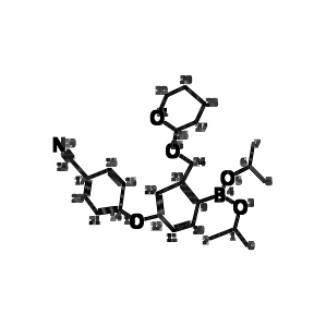 CC(C)OB(OC(C)C)c1ccc(Oc2ccc(C#N)cc2)cc1COC1CCCCO1